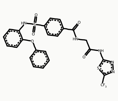 O=C(CNC(=O)c1ccc(S(=O)(=O)Nc2ccccc2Oc2ccccc2)cc1)Nc1nnc(C(F)(F)F)s1